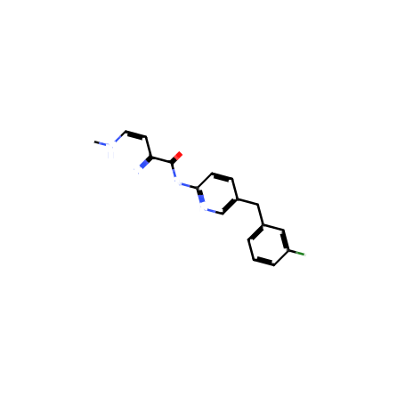 CCN/C=C\C(=N)C(=O)Nc1ccc(Cc2cccc(Cl)c2)cn1